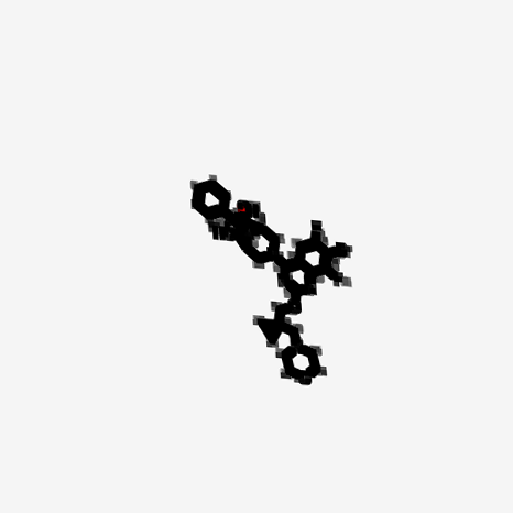 CC(C)(c1ccccc1)N1C2CN(c3nc(OCC4(CN5CCOCC5)CC4)nc4c(F)c(Br)c(F)cc34)CC1C(O)C2O